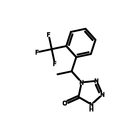 CC(c1ccccc1C(F)(F)F)n1nn[nH]c1=O